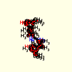 CC[C@H](C)[C@H]1C[C@]2(C=C[C@@H]1C)CC1C[C@@H](C/C=C(\C)[C@@H](O[C@H]3C[C@H](OC)[C@@H](O[C@H]4C[C@H](OC)[C@H](NC(=O)NCCCCCCNC(=O)N[C@@H]5[C@H](C)O[C@@H](O[C@H]6[C@H](C)O[C@@H](O[C@@H]7/C(C)=C/C[C@@H]8C[C@@H](C[C@]9(C=C[C@H](C)[C@@H]([C@@H](C)CC)O9)O8)OC(=O)[C@@H]8C=C(C)[C@@H](O)[C@H]9OC/C(=C\C=C\[C@@H]7C)[C@]98O)C[C@@H]6OC)C[C@@H]5OC)[C@H](C)O4)[C@H](C)O3)[C@@H](C)/C=C/C=C3\CO[C@@H]4[C@H](O)C(C)=C[C@@H](C(=O)O1)[C@]34O)O2